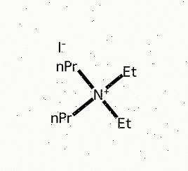 CCC[N+](CC)(CC)CCC.[I-]